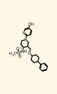 CS(=O)(=O)N[C@H]1CCN(c2ccc(O)cn2)CC1COC1CCC(c2ccccc2)CC1